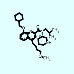 COCCCCc1cc(C(=O)N(CC(C)C)[C@@H]2CCCNC2)nc2c(OCC3CCCCC3)cccc12